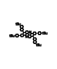 CC(C)(C)c1ccc(-c2ccc3c(c2)c(-c2ccc4cc(C(C)(C)C)ccc4c2)c2ccc4nc5c6ccc(-c7ccc(C(C)(C)C)cc7)cc6c(-c6ccc7cc(C(C)(C)C)ccc7c6)c6ccc7nc3c2c4c7c65)cc1